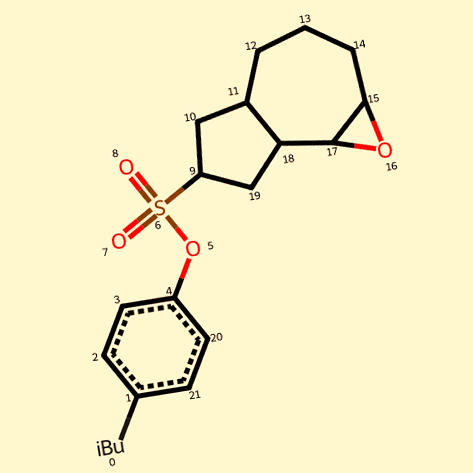 CCC(C)c1ccc(OS(=O)(=O)C2CC3CCCC4OC4C3C2)cc1